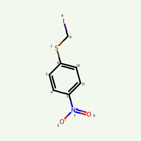 O=[N+]([O-])c1ccc(SCI)cc1